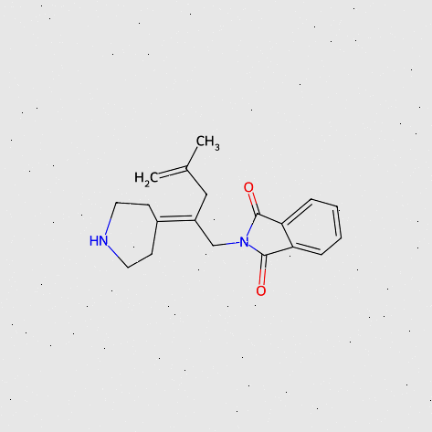 C=C(C)CC(CN1C(=O)c2ccccc2C1=O)=C1CCNCC1